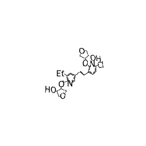 CCc1cc(CCc2ccc(Cl)nc2O[C@H]2COC[C@@H]2O)cnc1O[C@H]1COC[C@@H]1O